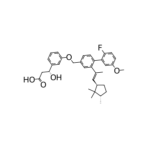 COc1ccc(F)c(-c2ccc(COc3cccc([C@H](O)CC(=O)O)c3)cc2/C(C)=C/[C@H]2CC[C@H](C)C2(C)C)c1